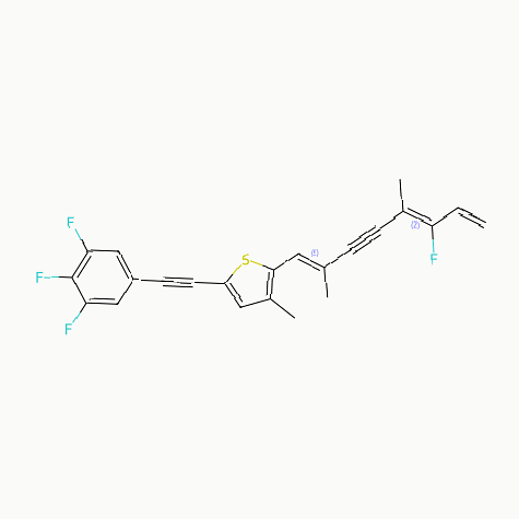 C=C/C(F)=C(\C)C#C/C(C)=C/c1sc(C#Cc2cc(F)c(F)c(F)c2)cc1C